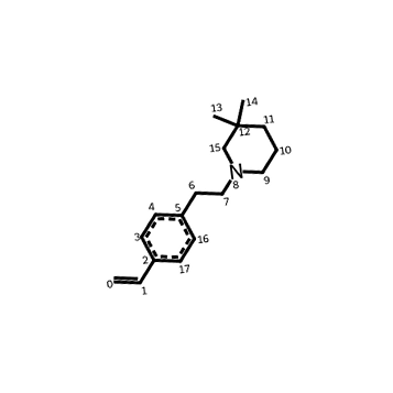 C=Cc1ccc(CCN2CCCC(C)(C)C2)cc1